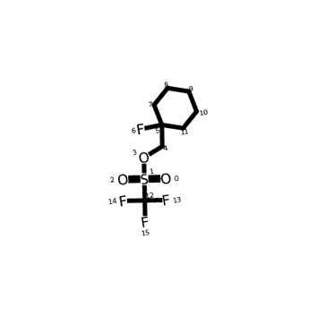 O=S(=O)(OCC1(F)CCCCC1)C(F)(F)F